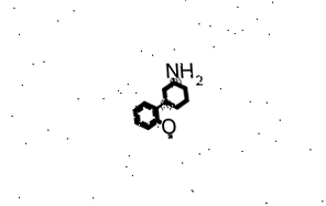 COc1ccccc1[C@@H]1CCC[C@@H](N)C1